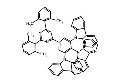 Cc1cccc(C)c1-c1nc(-c2cc(-n3c4ccccc4c4ccccc43)c(-n3c4ccccc4c4ncccc43)c(-n3c4ccccc4c4ccccc43)c2)nc(-c2c(C)cccc2C)n1